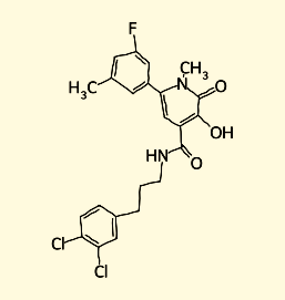 Cc1cc(F)cc(-c2cc(C(=O)NCCCc3ccc(Cl)c(Cl)c3)c(O)c(=O)n2C)c1